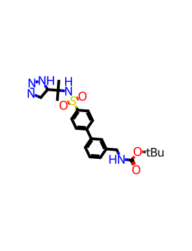 CC(C)(C)OC(=O)NCc1cccc(-c2ccc(S(=O)(=O)NC(C)(C)C3CN=NN3)cc2)c1